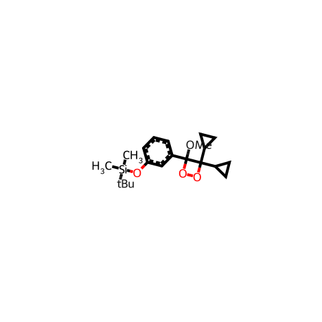 COC1(c2cccc(O[Si](C)(C)C(C)(C)C)c2)OOC1(C1CC1)C1CC1